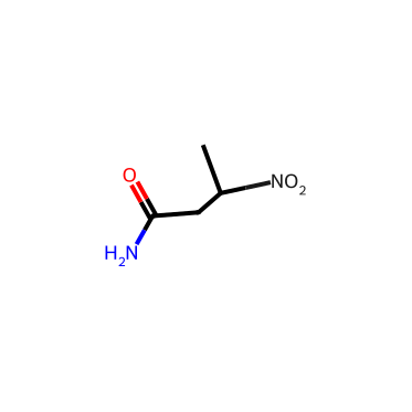 CC(CC(N)=O)[N+](=O)[O-]